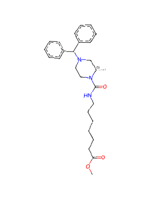 COC(=O)CCCCCCNC(=O)N1CCN(C(c2ccccc2)c2ccccc2)C[C@@H]1C